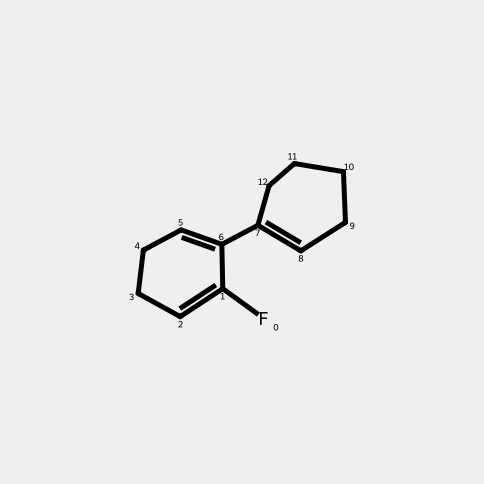 FC1=CCCC=C1C1=CCCCC1